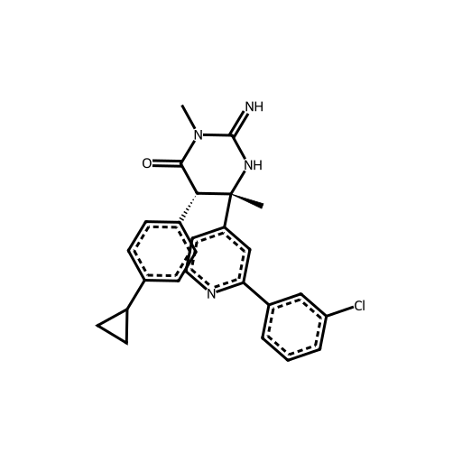 CN1C(=N)N[C@](C)(c2ccnc(-c3cccc(Cl)c3)c2)[C@H](c2ccc(C3CC3)cc2)C1=O